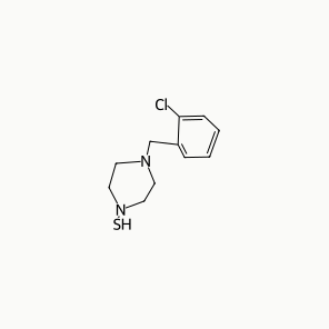 SN1CCN(Cc2ccccc2Cl)CC1